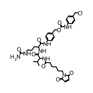 CC(C)C(NC(=O)CCCCCN1C(=O)C=CC1=O)C(=O)NC(CCCNC(N)=O)C(=O)Nc1ccc(COC(=O)Nc2ccc(CCl)cc2)cc1